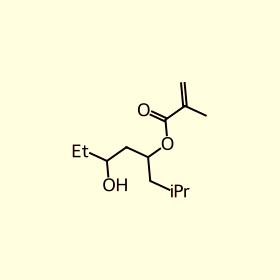 C=C(C)C(=O)OC(CC(C)C)CC(O)CC